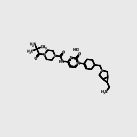 CC(C)(N)C(=O)N1CCN(C(=O)Nc2ccn(C3=CCC(CN4CC5C(CN)C5C4)CC3)c(=O)n2)CC1.Cl